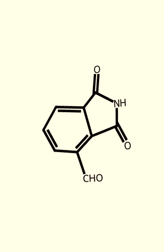 O=Cc1cccc2c1C(=O)NC2=O